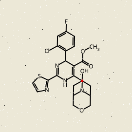 COC(=O)C1=C(CN2C3COCC2CC(O)C3)NC(c2nccs2)=NC1c1ccc(F)cc1Cl